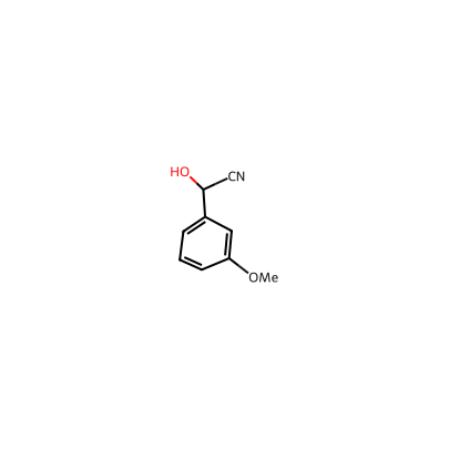 COc1cccc(C(O)C#N)c1